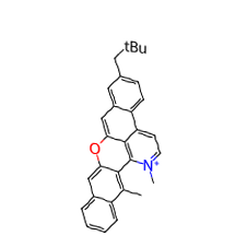 Cc1c2c(cc3ccccc13)Oc1cc3cc(CC(C)(C)C)ccc3c3cc[n+](C)c-2c13